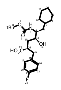 CC(C)(C)OC(=O)N[C@@H](CC1CCCCC1)[C@@H](O)C[C@@H](Cc1ccc(F)cc1)C(=O)O